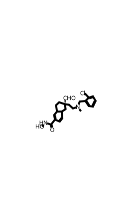 CN(CC[C@@]1(C=O)CCC2C=C(C(=O)NO)C=CC2C1)Cc1ccccc1Cl